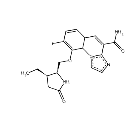 CC[C@@H]1CC(=O)N[C@@H]1COC1=C(F)C=CC2C=C(C(N)=O)c3nccn3C12